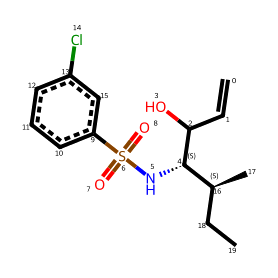 C=CC(O)[C@@H](NS(=O)(=O)c1cccc(Cl)c1)[C@@H](C)CC